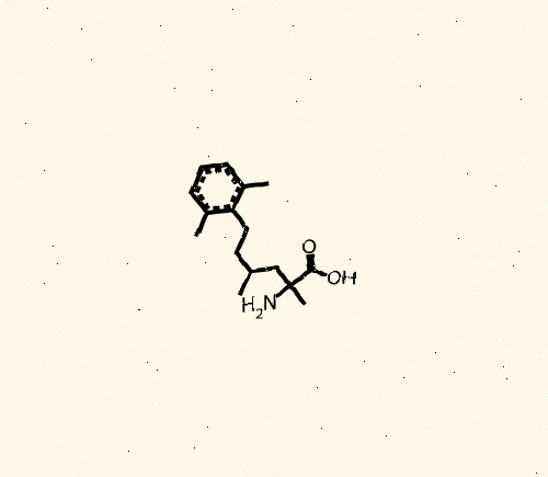 Cc1cccc(C)c1CCC(C)CC(C)(N)C(=O)O